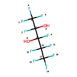 OC(F)(C(F)(F)F)C(O)(F)C(F)(F)C(F)(F)F